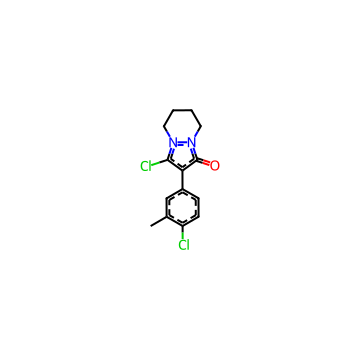 Cc1cc(-c2c(Cl)n3n(c2=O)CCCC3)ccc1Cl